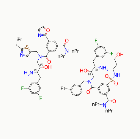 CCCN(CCC)C(=O)c1cc(C(=O)N(Cc2cccc(CC)c2)C[C@@H](O)[C@@H](N)Cc2cc(F)cc(F)c2)cc(S(=O)(=O)NCCCO)c1.CCCN(CCC)C(=O)c1cc(C(=O)N(Cc2cnc(CC(C)C)s2)C[C@@H](O)[C@@H](N)Cc2cc(F)cc(F)c2)cc(-c2ncco2)c1